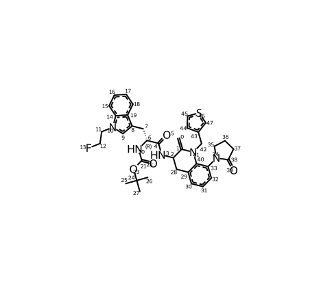 C=C1C(NC(=O)[C@@H](Cc2cn(CCF)c3ccccc23)NC(=O)OC(C)(C)C)Cc2cccc(N3CCCC3=O)c2N1Cc1ccsc1